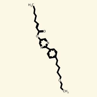 CCCCCC=CC(=O)Oc1cnc(-c2ccc(CCCCCOCCC)cc2)nc1